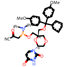 COc1ccc(C(OC[C@@]2(COP(CC(=O)C#N)N(C(C)C)C(C)C)COC[C@H](n3ccc(=O)[nH]c3=O)O2)(c2ccccc2)c2ccc(OC)cc2)cc1